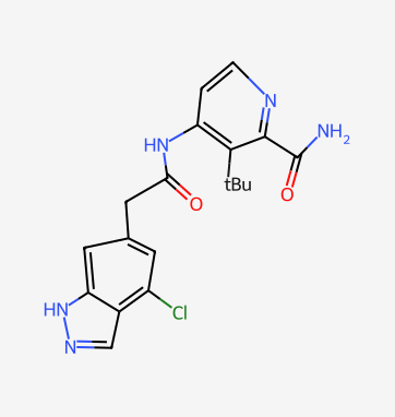 CC(C)(C)c1c(NC(=O)Cc2cc(Cl)c3cn[nH]c3c2)ccnc1C(N)=O